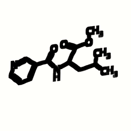 COC(=O)C(CC(C)C)NC(=O)c1cccnc1